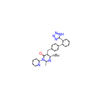 CCCCc1nc(C)n(-c2ccccn2)c(=O)c1Cc1ccc(-c2ccccc2-c2nnn[nH]2)cc1